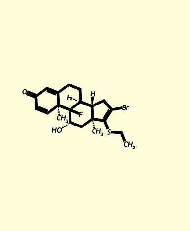 CCSC1=C(Br)C[C@H]2[C@@H]3CCC4=CC(=O)C=C[C@]4(C)C3(F)[C@@H](O)C[C@]12C